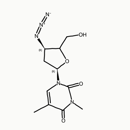 Cc1cn([C@H]2C[C@@H](N=[N+]=[N-])C(CO)O2)c(=O)n(C)c1=O